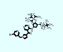 CC(C)[Si](O[C@H]1C[C@H](Nc2ncncc2C(=O)c2ccn(Cc3cncc(Br)c3)c2)C[C@@H]1CO[Si](C)(C)C(C)(C)C)(C(C)C)C(C)C